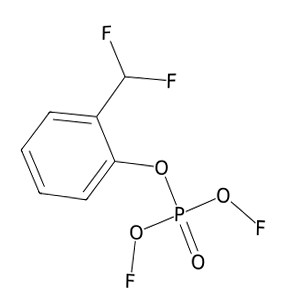 O=P(OF)(OF)Oc1ccccc1C(F)F